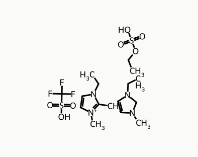 CCN1C=CN(C)C1.CCOS(=O)(=O)O.CCn1cc[n+](C)c1C.O=S(=O)(O)C(F)(F)F